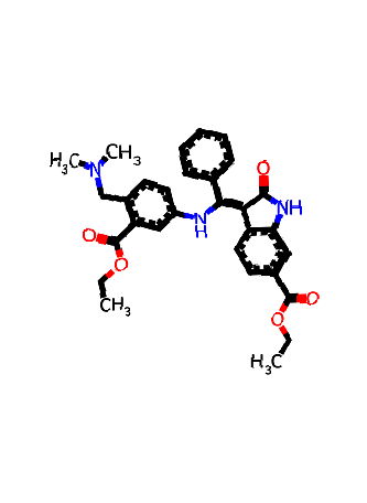 CCOC(=O)c1ccc2c(c1)NC(=O)C2=C(Nc1ccc(CN(C)C)c(C(=O)OCC)c1)c1ccccc1